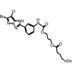 CCCCCCCCCCCCCC(=O)OCCCOC(=O)Nc1cccc(-c2nn3nc(C(C)(C)C)c(Cl)c3[nH]2)c1